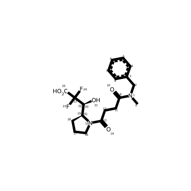 CN(Cc1ccccc1)C(=O)CCC(=O)N1CCC[C@H]1[C@H](O)C(F)(F)C(=O)O